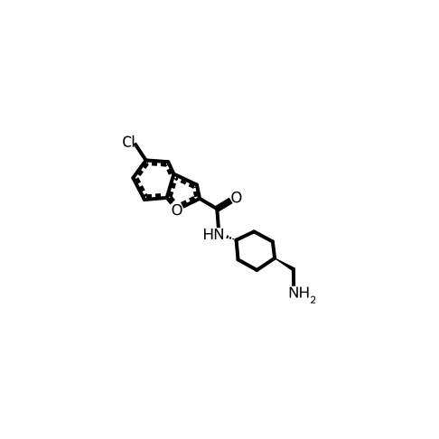 NC[C@H]1CC[C@H](NC(=O)c2cc3cc(Cl)ccc3o2)CC1